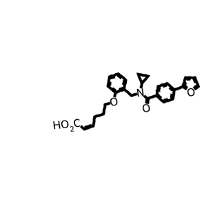 O=C(O)/C=C\CCCOc1ccccc1CN(C(=O)c1ccc(-c2ccco2)cc1)C1CC1